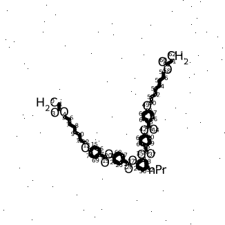 C=CC(=O)OCCCCCCCCOc1ccc(C(=O)Oc2ccc(C(=O)Oc3ccc(CCC)cc3OC(=O)c3ccc(OC(=O)c4ccc(OCCCCCCCCOC(=O)C=C)cc4)cc3)cc2)cc1